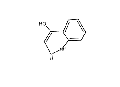 OC1=CNNc2ccccc21